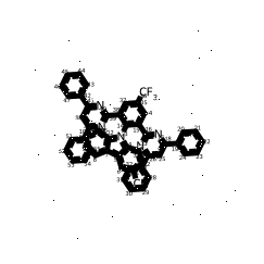 N#Cc1ccc2c(c1)c1ccccc1n2-c1c(-c2nc(-c3ccccc3)cc(-c3ccccc3)n2)cc(C(F)(F)F)cc1-c1nc(-c2ccccc2)cc(-c2ccccc2)n1